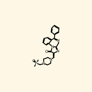 CP(C)(=O)CN1CCN(C=C2N=C3CN=C(c4ccccc4)c4ccccc4N3C2=O)CC1